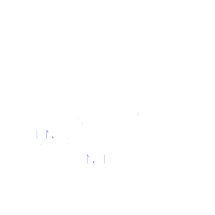 NP(N)(=O)OCCSc1ccccc1